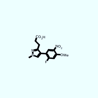 COc1cc(F)c(-c2cn(C)nc2CCC(=O)O)cc1[N+](=O)[O-]